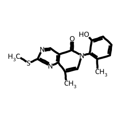 CSc1ncc2c(=O)n(-c3c(C)cccc3O)cc(C)c2n1